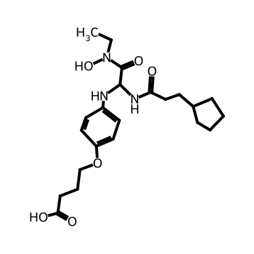 CCN(O)C(=O)C(NC(=O)CCC1CCCC1)Nc1ccc(OCCCC(=O)O)cc1